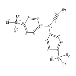 CC[Si](CC)(CC)c1ccc(P(C#CC(C)C)c2ccc([Si](CC)(CC)CC)cc2)cc1